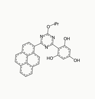 CC(C)Oc1nc(-c2c(O)cc(O)cc2O)nc(-c2ccc3ccc4cccc5ccc2c3c45)n1